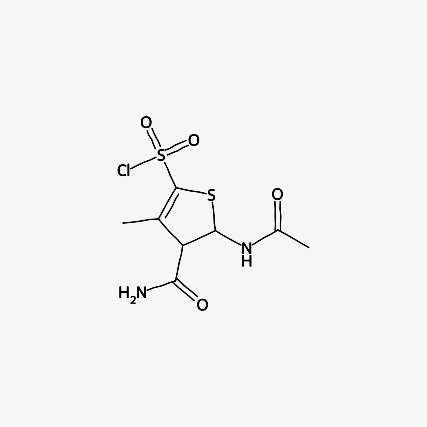 CC(=O)NC1SC(S(=O)(=O)Cl)=C(C)C1C(N)=O